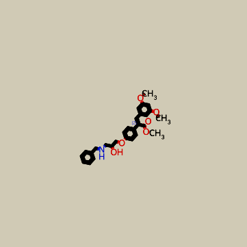 COC(=O)/C(=C\c1cc(OC)cc(OC)c1)c1ccc(OCC(O)CNCc2ccccc2)cc1